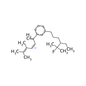 C=C(/C=C\C(C)=C(C)C)c1cccc(CCCC(CC)C(C)(C)F)c1